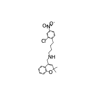 CC1(C)C=C(CNCCCCc2ccc([N+](=O)[O-])cc2Cl)c2ccccc2O1